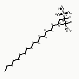 CCCCCCCCCCCCCCCCCCC(C)(C(C)(C)N)S(=O)(=O)O